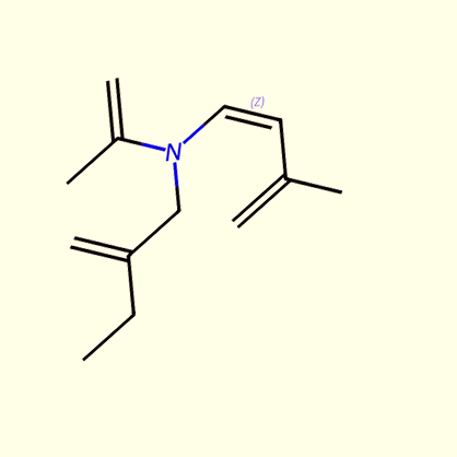 C=C(C)/C=C\N(CC(=C)CC)C(=C)C